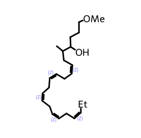 CC/C=C\C/C=C\C/C=C\C/C=C\C/C=C\CC(C)C(O)CCCOC